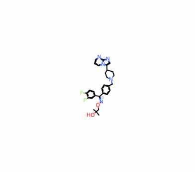 CC(C)(O)CO/N=C(/c1ccc(CN2CCC(c3cnc4ncccn34)CC2)cc1)c1ccc(F)c(F)c1